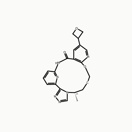 C[C@H]1CCCOc2ncc(C3COC3)cc2C(=O)Nc2cccc(n2)-c2nncn21